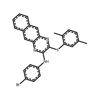 Cc1ccc(C)c(Sc2nc3cc4ccccc4cc3nc2Nc2ccc(Br)cc2)c1